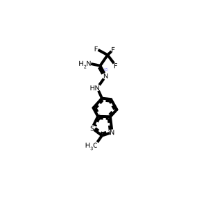 Cc1nc2ccc(N/N=C(\N)C(F)(F)F)cc2s1